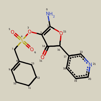 NC1=C(OS(=O)(=O)CC2=CCCCC2)C(=O)C(c2cccnc2)O1